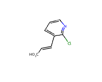 O=C(O)C=Cc1cccnc1Cl